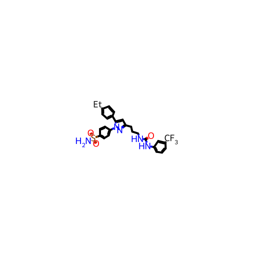 CCc1ccc(-c2cc(CCCNC(=O)Nc3cccc(C(F)(F)F)c3)nn2-c2ccc(S(N)(=O)=O)cc2)cc1